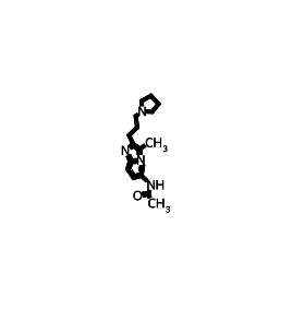 CC(=O)Nc1ccc2nc(CCCN3CCCC3)c(C)n2c1